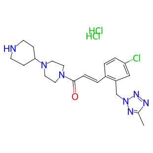 Cc1nnn(Cc2cc(Cl)ccc2C=CC(=O)N2CCN(C3CCNCC3)CC2)n1.Cl.Cl